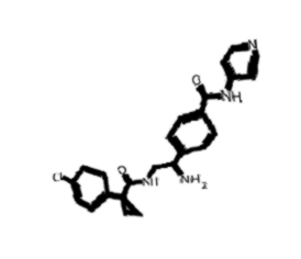 NC(CNC(=O)C1(c2ccc(Cl)cc2)CC1)c1ccc(C(=O)Nc2ccncc2)cc1